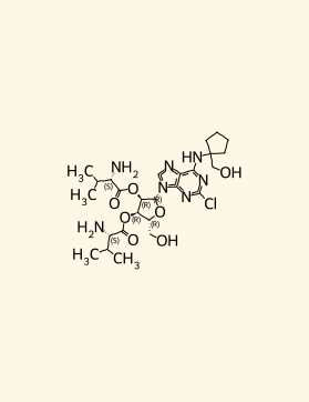 CC(C)[C@H](N)C(=O)O[C@@H]1[C@H](OC(=O)[C@@H](N)C(C)C)[C@@H](CO)O[C@H]1n1cnc2c(NC3(CO)CCCC3)nc(Cl)nc21